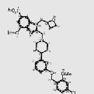 CCOc1cc(C(=O)O)cc2c1nc(CN1CCC(c3cccc(OCc4ccc(Cl)cc4OC)n3)CC1)n2CC1CCO1